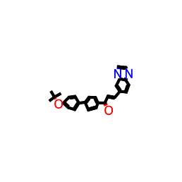 CC(C)(C)Oc1ccc(-c2ccc(C(=O)C=Cc3ccc4nccnc4c3)cc2)cc1